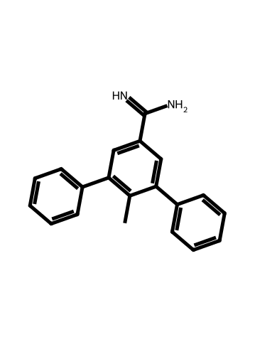 Cc1c(-c2ccccc2)cc(C(=N)N)cc1-c1ccccc1